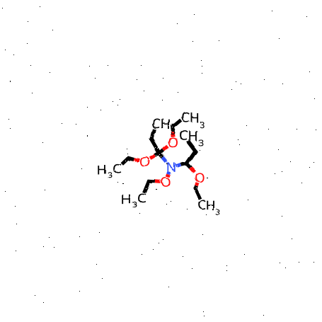 CCOC(CC)N(OCC)C(CC)(OCC)OCC